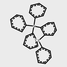 [c]1cccc([Si](c2ccccc2)(c2ccccc2)c2ccccc2)c1Sc1ccccc1